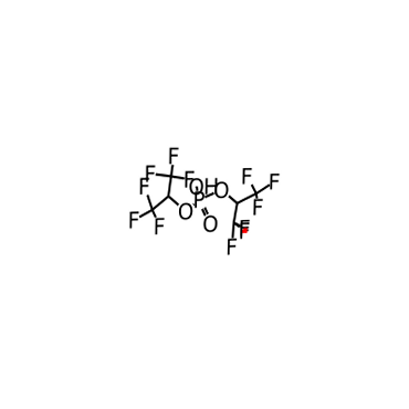 O=P(O)(OC(C(F)(F)F)C(F)(F)F)OC(C(F)(F)F)C(F)(F)F